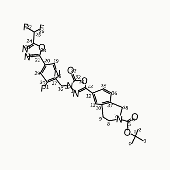 CC(C)(C)OC(=O)N1CCc2cc(-c3nn(Cc4ncc(-c5nnc(C(F)F)o5)cc4F)c(=O)o3)ccc2C1